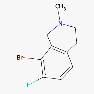 CN1CCc2ccc(F)c(Br)c2C1